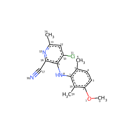 COc1ccc(C)c(Nc2c(Cl)cc(C)nc2C#N)c1C